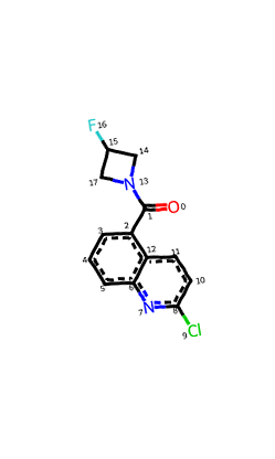 O=C(c1cccc2nc(Cl)ccc12)N1CC(F)C1